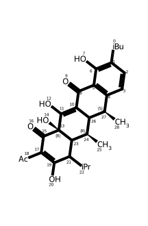 CCC(C)c1ccc2c(c1O)C(=O)C1=C(O)[C@@]3(O)C(=O)C(C(C)=O)=C(O)C(C(C)C)C3[C@H](C)C1[C@@H]2C